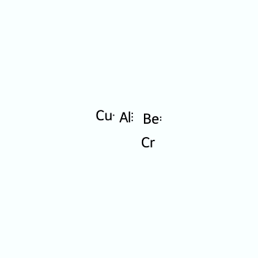 [Al].[Be].[Cr].[Cu]